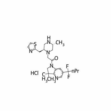 CCCC(F)(F)c1cnc2c(c1)N(C(=O)CN1C[C@@H](C)NC[C@@H]1Cc1nccs1)CC2(C)C.Cl